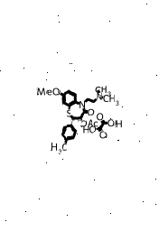 COc1ccc2c(c1)S[C@@H](c1ccc(C)cc1)[C@@H](OC(C)=O)C(=O)N2CCN(C)C.O=C(O)C(=O)O